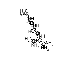 CCN(CC)CCNC(=O)c1ccc(NC(=O)CC(O)c2ccc(Nc3nc(N4C[C@H](N)C[C@H](N)C4)nc(N4C[C@H](N)C[C@H](N)C4)n3)cc2)cc1